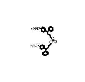 CCCCCCc1ccc(C(CCCOC(=O)OCCCC(c2ccccc2)c2ccc(CCCCCC)cc2)c2ccccc2)cc1